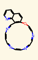 c1cnccnccnccoc2ccc3cccnc3c2cnc1